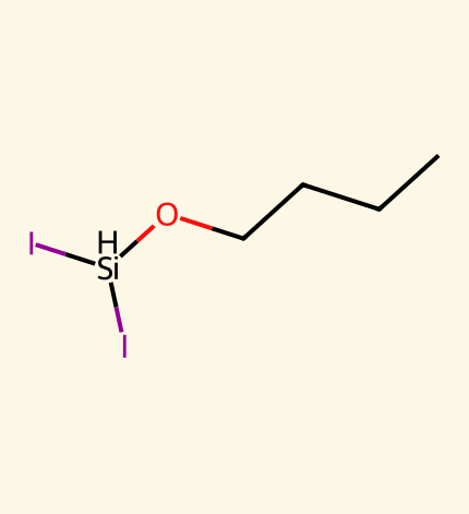 CCCCO[SiH](I)I